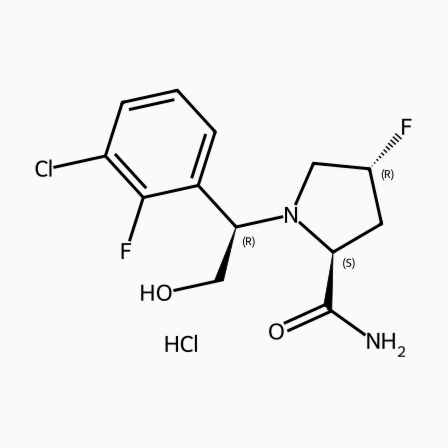 Cl.NC(=O)[C@@H]1C[C@@H](F)CN1[C@@H](CO)c1cccc(Cl)c1F